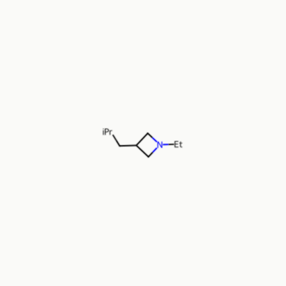 CCN1CC(CC(C)C)C1